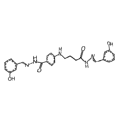 O=C(CCCNc1ccc(C(=O)NN=Cc2cccc(O)c2)cc1)NN=Cc1cccc(O)c1